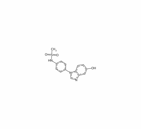 CS(=O)(=O)Nc1ccc(-n2cnc3cc(O)ccc32)cc1